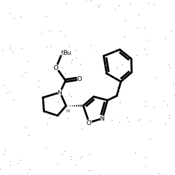 CC(C)(C)OC(=O)N1CCC[C@H]1c1cc(Cc2ccccc2)no1